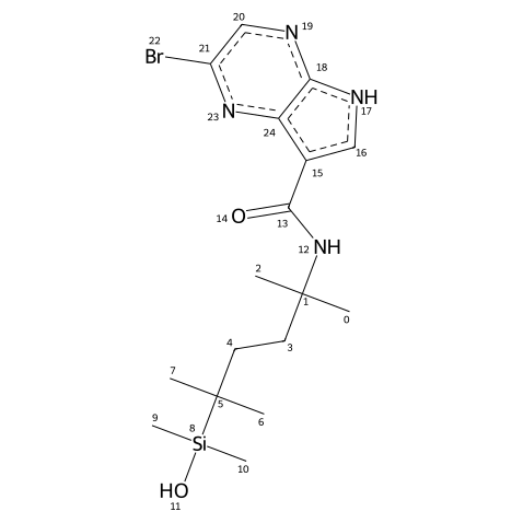 CC(C)(CCC(C)(C)[Si](C)(C)O)NC(=O)c1c[nH]c2ncc(Br)nc12